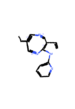 C=CC1=C(Nc2ccccn2)/N=C\C(CC)=C/N=C\1